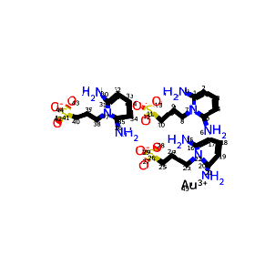 NC1=CC=CC(N)N1CCCS(=O)(=O)[O-].NC1=CC=CC(N)N1CCCS(=O)(=O)[O-].NC1=CC=CC(N)N1CCCS(=O)(=O)[O-].[Au+3]